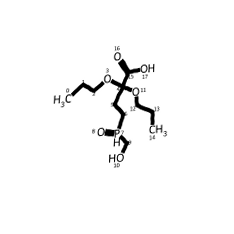 CCCOC(CC[PH](=O)CO)(OCCC)C(=O)O